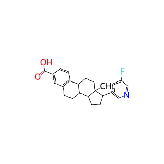 CC12CCC3c4ccc(C(=O)O)cc4CCC3C1CCC2c1cncc(F)c1